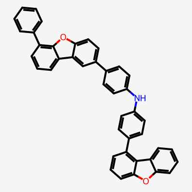 c1ccc(-c2cccc3c2oc2ccc(-c4ccc(Nc5ccc(-c6cccc7oc8ccccc8c67)cc5)cc4)cc23)cc1